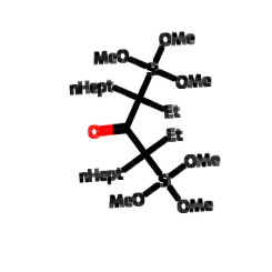 CCCCCCCC(CC)(C(=O)C(CC)(CCCCCCC)[Si](OC)(OC)OC)[Si](OC)(OC)OC